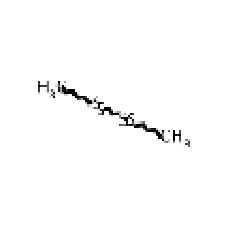 CCCCCCSSCCCSSCCCCCC